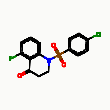 O=C1CCN(S(=O)(=O)c2ccc(Cl)cc2)c2cccc(F)c21